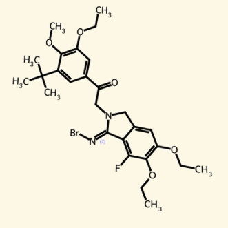 CCOc1cc(C(=O)CN2Cc3cc(OCC)c(OCC)c(F)c3/C2=N/Br)cc(C(C)(C)C)c1OC